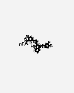 CCCNc1ncnc2ccc(-c3ccc(CNc4ncccc4C(=O)NCc4ccc(F)c(F)c4)s3)cc12